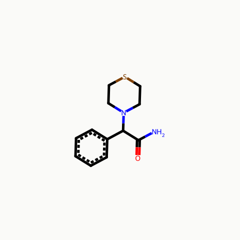 NC(=O)C(c1ccccc1)N1CCSCC1